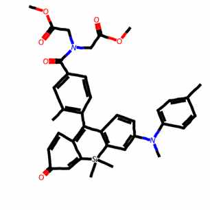 COC(=O)CN(CC(=O)OC)C(=O)c1ccc(C2=C3C=CC(=O)C=C3[Si](C)(C)c3cc(N(C)c4ccc(C)cc4)ccc32)c(C)c1